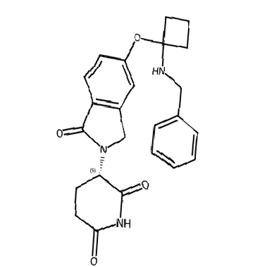 O=C1CC[C@H](N2Cc3cc(OC4(NCc5ccccc5)CCC4)ccc3C2=O)C(=O)N1